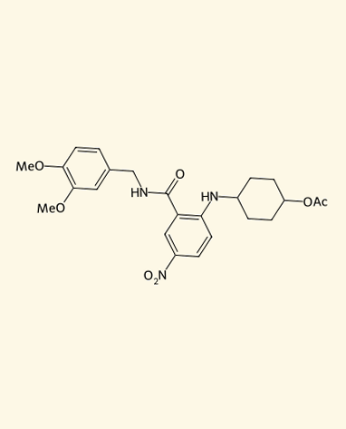 COc1ccc(CNC(=O)c2cc([N+](=O)[O-])ccc2NC2CCC(OC(C)=O)CC2)cc1OC